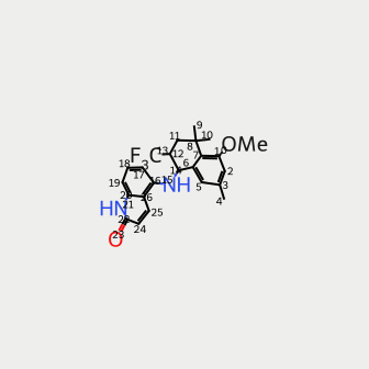 COc1cc(C)cc2c1C(C)(C)CC(C(F)(F)F)C2Nc1cccc2[nH]c(=O)ccc12